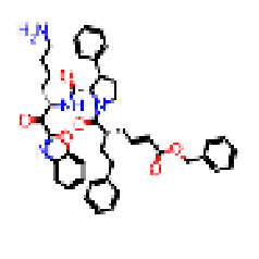 NCCCC[C@H](NC(=O)[C@@H]1[C@@H](c2ccccc2)CCN1C(=O)[C@H](C/C=C/C(=O)OCc1ccccc1)CCc1ccccc1)C(=O)c1nc2ccccc2o1